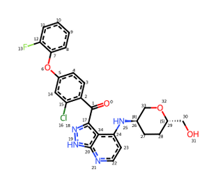 O=C(c1ccc(Oc2ccccc2F)cc1Cl)c1n[nH]c2nccc(N[C@@H]3CC[C@@H](CO)OC3)c12